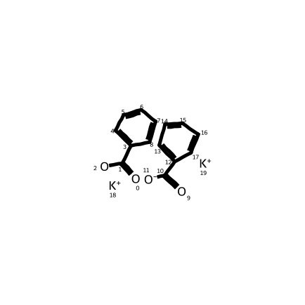 O=C([O-])c1ccccc1.O=C([O-])c1ccccc1.[K+].[K+]